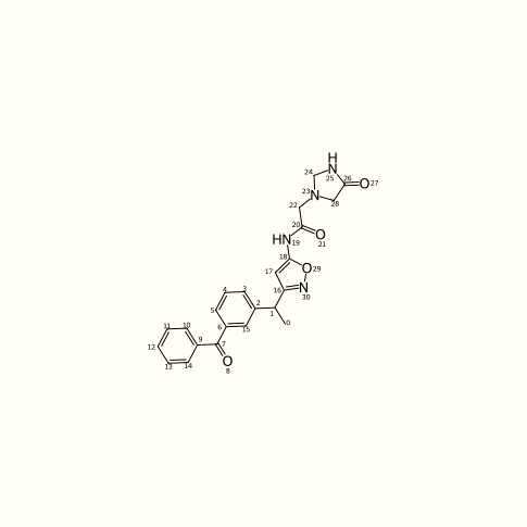 CC(c1cccc(C(=O)c2ccccc2)c1)c1cc(NC(=O)CN2CNC(=O)C2)on1